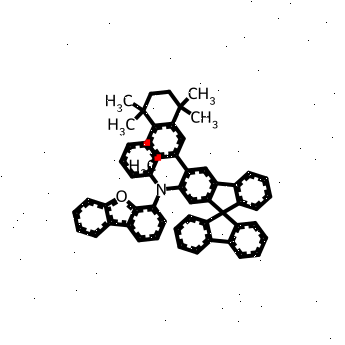 Cc1cc2c(cc1-c1cc3c(cc1N(c1ccccc1)c1cccc4c1oc1ccccc14)C1(c4ccccc4-c4ccccc41)c1ccccc1-3)C(C)(C)CCC2(C)C